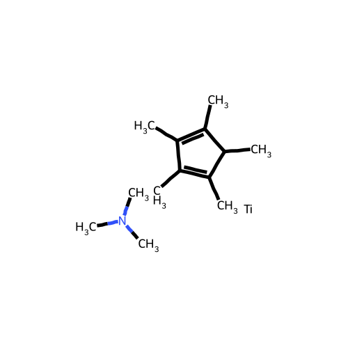 CC1=C(C)C(C)C(C)=C1C.CN(C)C.[Ti]